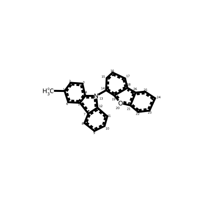 Cc1ccc2c(c1)c1ccccc1n2-c1cccc2c1oc1ccccc12